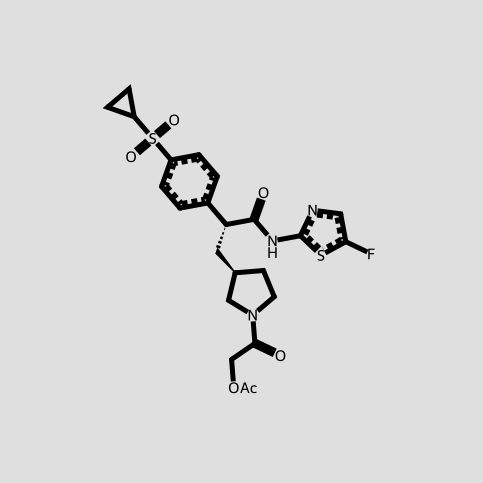 CC(=O)OCC(=O)N1CC[C@H](C[C@@H](C(=O)Nc2ncc(F)s2)c2ccc(S(=O)(=O)C3CC3)cc2)C1